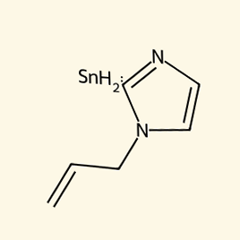 C=CCn1ccnc1.[SnH2]